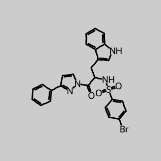 O=C(C(Cc1c[nH]c2ccccc12)NS(=O)(=O)c1ccc(Br)cc1)n1ccc(-c2ccccc2)n1